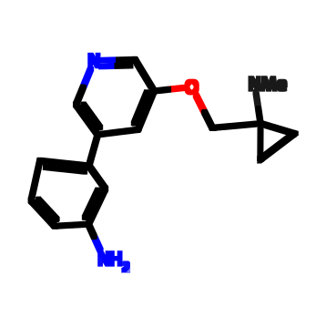 CNC1(COc2cncc(-c3cccc(N)c3)c2)CC1